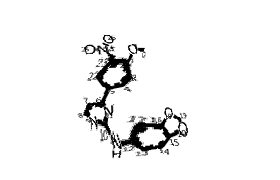 COc1ccc(-c2ccnc(Nc3ccc4c(c3)OCO4)n2)cc1[N+](=O)[O-]